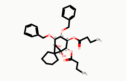 CCCC(=O)O[C@@H]1[C@@H](OCc2ccccc2)[C@H](OCc2ccccc2)[C@@]2(O)C3(CCCCC3)[C@@]2(O)[C@H]1OC(=O)CCC